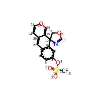 O=S(=O)(Oc1ccc2c(c1)C1(COC=N1)C1=COC=CC1=C2)C(F)(F)F